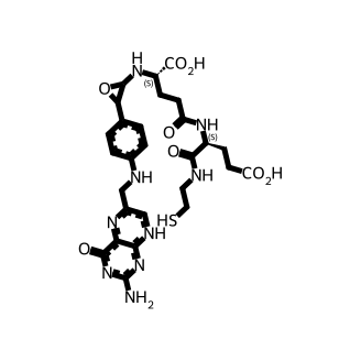 Nc1nc2[nH]cc(CNc3ccc(C4OC4N[C@@H](CCC(=O)N[C@@H](CCC(=O)O)C(=O)NCCS)C(=O)O)cc3)nc-2c(=O)n1